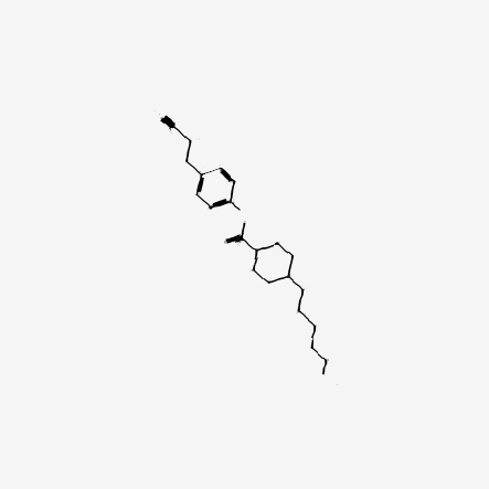 CCCCCCC1CCC(C(=O)Oc2ccc(CCC#N)cc2)CC1